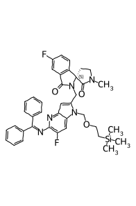 CN1CC[C@@]2(C1=O)c1ccc(F)cc1C(=O)N2Cc1cc2nc(N=C(c3ccccc3)c3ccccc3)c(F)cc2n1COCC[Si](C)(C)C